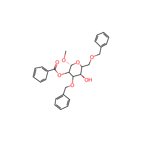 CO[C@@H]1OC(COCc2ccccc2)[C@@H](O)C(OCc2ccccc2)C1OC(=O)c1ccccc1